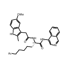 COc1ccc2[nH]c(C)c(CC(=O)N[C@@H](CCCCCC(C)=O)C(=O)Nc3cncc4ccccc34)c2c1